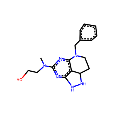 CN(CCO)c1nc2c3c(n1)N(Cc1ccccc1)CCC3NN2